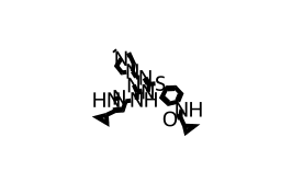 CN1CCN(c2nc(Nc3cc(C4CC4)[nH]n3)nc(Sc3ccc(NC(=O)C4CC4)cc3)n2)CC1